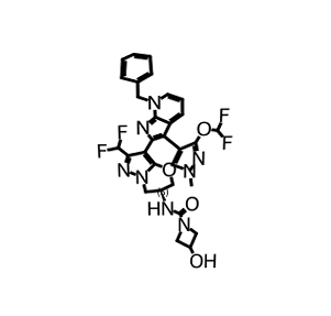 Cn1cc(-c2c3cccn(Cc4ccccc4)c-3nc2-c2c(C(F)F)nn3c2OC[C@@H](NC(=O)N2CC(O)C2)C3)c(OC(F)F)n1